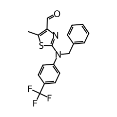 Cc1sc(N(Cc2ccccc2)c2ccc(C(F)(F)F)cc2)nc1C=O